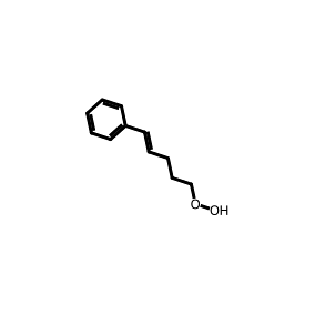 OOCCCC=Cc1ccccc1